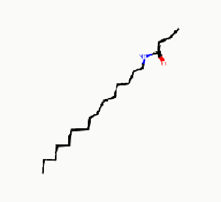 CCCCCCCCCCCCCCCNC(=O)CCC